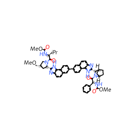 COC[C@H]1C[C@@H](c2nc3ccc4cc(-c5ccc6c(ccc7nc([C@@H]8[C@@H]9CC[C@@H](C9)N8C(=O)[C@H](NC(=O)OC)c8ccccc8)[nH]c76)c5)ccc4c3[nH]2)N(C(=O)[C@@H](NC(=O)OC)C(C)C)C1